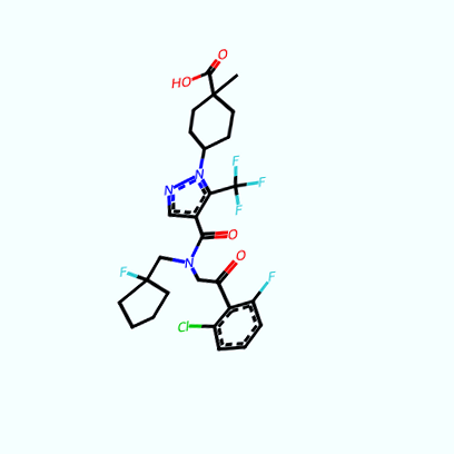 CC1(C(=O)O)CCC(n2ncc(C(=O)N(CC(=O)c3c(F)cccc3Cl)CC3(F)CCCC3)c2C(F)(F)F)CC1